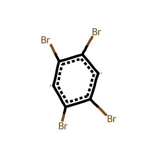 Brc1[c]c(Br)c(Br)[c]c1Br